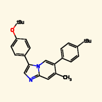 Cc1cc2ncc(-c3ccc(OC(C)(C)C)cc3)n2cc1-c1ccc(C(C)(C)C)cc1